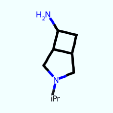 CC(C)N1CC2CC(N)C2C1